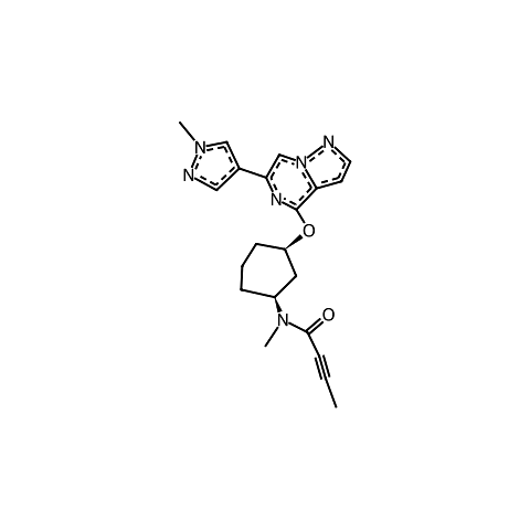 CC#CC(=O)N(C)[C@H]1CCC[C@@H](Oc2nc(-c3cnn(C)c3)cn3nccc23)C1